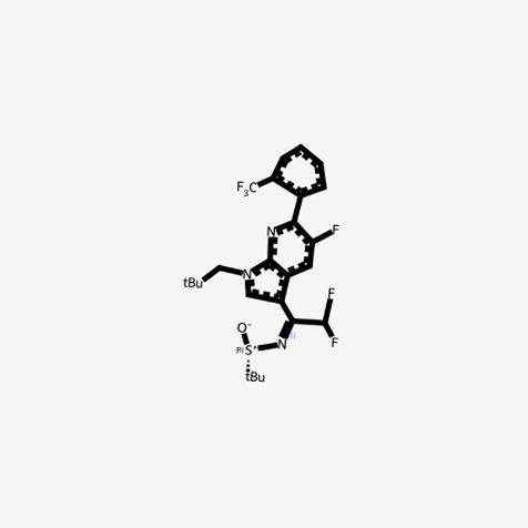 CC(C)(C)Cn1cc(/C(=N\[S@@+]([O-])C(C)(C)C)C(F)F)c2cc(F)c(-c3ccccc3C(F)(F)F)nc21